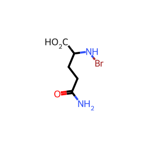 NC(=O)CCC(NBr)C(=O)O